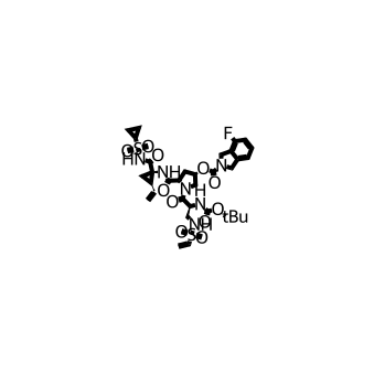 C=C[C@@H]1C[C@]1(NC(=O)C1C[C@@H](OC(=O)N2Cc3cccc(F)c3C2)CN1C(=O)[C@H](CNS(=O)(=O)C=C)NC(=O)OC(C)(C)C)C(=O)NS(=O)(=O)C1CC1